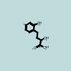 O=C(O)C(O)CCc1ccccc1O